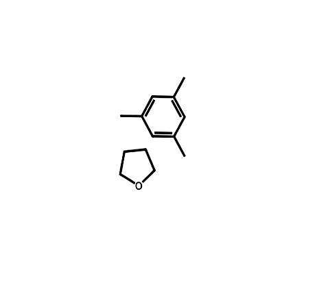 C1CCOC1.Cc1cc(C)cc(C)c1